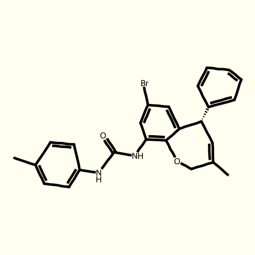 CC1=C[C@@H](c2ccccc2)c2cc(Br)cc(NC(=O)Nc3ccc(C)cc3)c2OC1